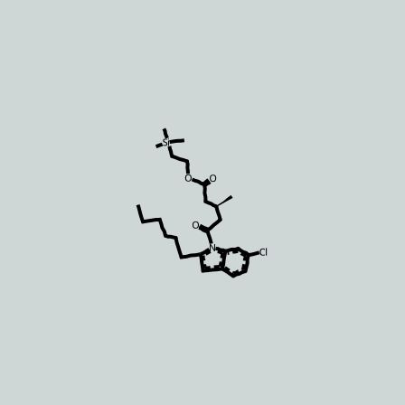 CCCCCCc1cc2ccc(Cl)cc2n1C(=O)C[C@H](C)CC(=O)OCC[Si](C)(C)C